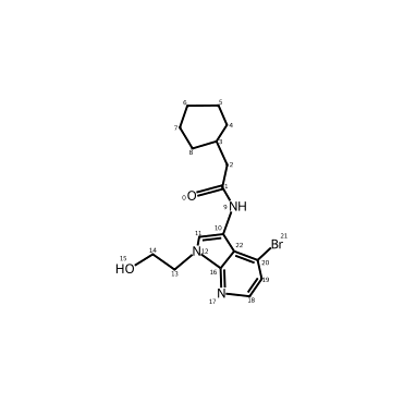 O=C(CC1CCCCC1)Nc1cn(CCO)c2nccc(Br)c12